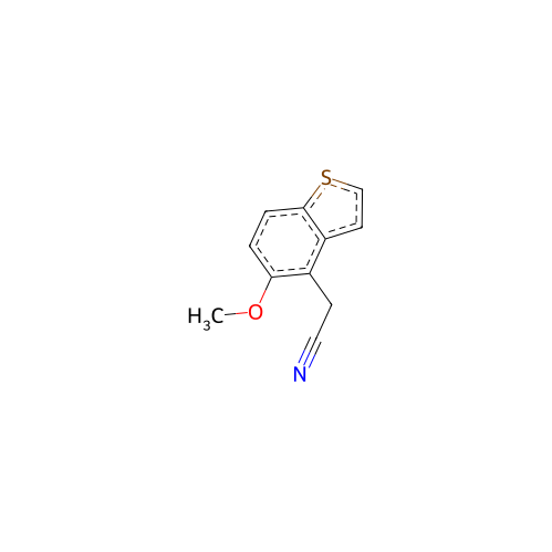 COc1ccc2sccc2c1CC#N